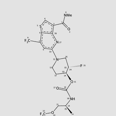 CNC(=O)c1csc2c(C(F)(F)F)cc(N3CC[C@H](OC(=O)N[C@@H](C)COC(F)(F)F)[C@@H](F)C3)nc12